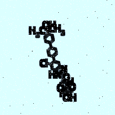 CC(C)(O)c1ccc(-c2ccc(-c3cc4nc(O[C@@H]5CO[C@]6(F)[C@H](O)CO[C@H]56)[nH]c4cc3Cl)cc2)cc1